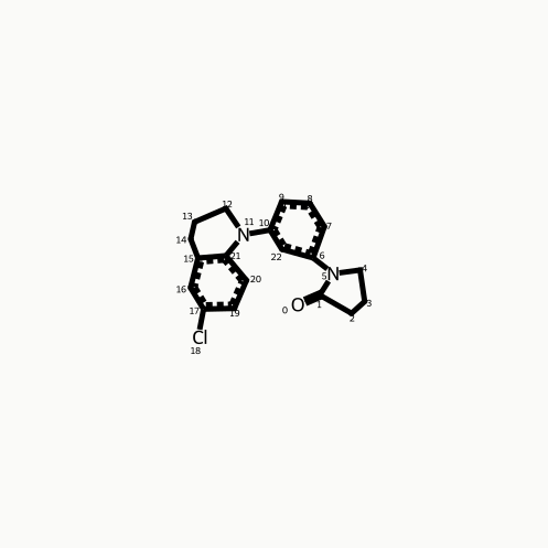 O=C1CCCN1c1cccc(N2CCCc3cc(Cl)ccc32)c1